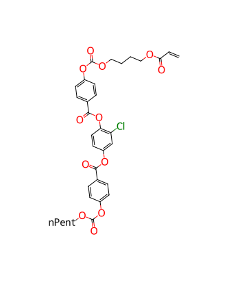 C=CC(=O)OCCCCOC(=O)Oc1ccc(C(=O)Oc2ccc(OC(=O)c3ccc(OC(=O)OCCCCC)cc3)cc2Cl)cc1